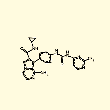 Nc1ncnn2cc(C(=O)NC3CC3)c(-c3ccc(NC(=O)Nc4ccnc(C(F)(F)F)n4)cc3)c12